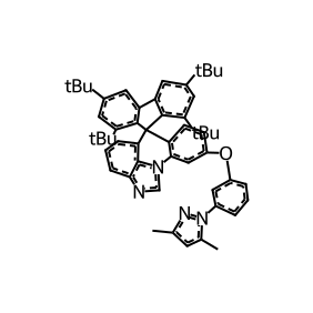 Cc1cc(C)n(-c2cccc(Oc3ccc4c(c3)-n3cnc5cccc(c53)C43c4c(cc(C(C)(C)C)cc4C(C)(C)C)-c4cc(C(C)(C)C)cc(C(C)(C)C)c43)c2)n1